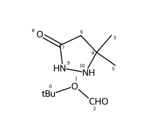 CC(C)(C)OC=O.CC1(C)CC(=O)NN1